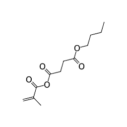 C=C(C)C(=O)OC(=O)CCC(=O)OCCCC